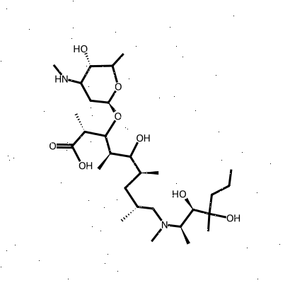 CCCC(C)(O)[C@H](O)[C@@H](C)N(C)C[C@H](C)C[C@H](C)C(O)[C@@H](C)C(O[C@H]1CC(NC)[C@H](O)C(C)O1)[C@@H](C)C(=O)O